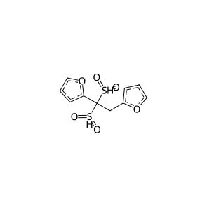 O=[SH](=O)C(Cc1ccco1)(c1ccco1)[SH](=O)=O